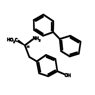 N[C@@H](Cc1ccc(O)cc1)C(=O)O.c1ccc(-c2ccccc2)cc1